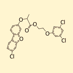 CC(Oc1ccc2c(c1)oc1cc(Cl)ccc12)C(=O)OCCOc1cc(Cl)cc(Cl)c1